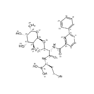 CC(C)CC[C@H](NC(=O)[C@@H](NC(=O)c1cccc(-c2ccccc2)n1)C(C)O[C@@H]1O[C@@H](C)[C@@H](O)[C@@H](O)[C@@H]1O)B(O)O